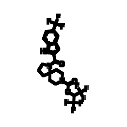 O=C(OC(C(F)(F)F)C(F)(F)F)N1CCC2(CCCN2C(=O)c2cc3cc(C(F)(F)F)ccc3[nH]2)CC1